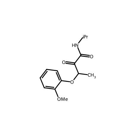 COc1ccccc1OC(C)C(=O)C(=O)NC(C)C